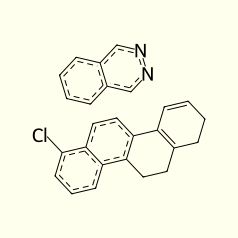 Clc1cccc2c3c(ccc12)C1=C(CCC=C1)CC3.c1ccc2cnncc2c1